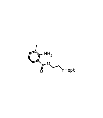 CCCCCCCCCOC(=O)c1cccc(C)c1N